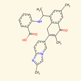 CC1=C(c2ccc3nc(C)cn3c2)Cc2c(cc(C)cc2C(C)Nc2ccccc2C(=O)O)C1=O